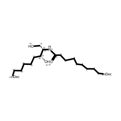 CCCCCCCCCCCCCCCCCCC(=O)N[C@@H](CO)[C@H](O)CCCCCCCCCCCCCCC